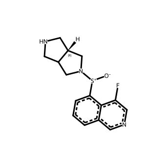 [O-][S+](c1cccc2cncc(F)c12)N1CC2CNC[C@@H]2C1